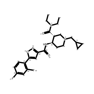 CCN(CC)C(=O)[C@@H]1CN(CC2CC2)CC[C@H]1NC(=O)c1cc(-c2ccc(F)cc2F)on1